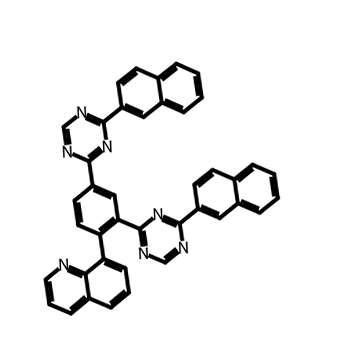 c1ccc2cc(-c3ncnc(-c4ccc(-c5cccc6cccnc56)c(-c5ncnc(-c6ccc7ccccc7c6)n5)c4)n3)ccc2c1